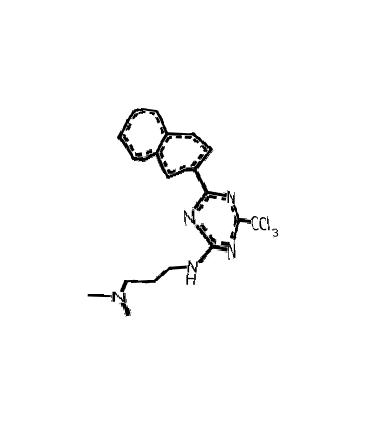 CN(C)CCCNc1nc(-c2ccc3ccccc3c2)nc(C(Cl)(Cl)Cl)n1